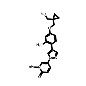 CCCn1cc(-n2cc(-c3ccc(OCC4(CO)CC4)cc3C)cn2)ccc1=O